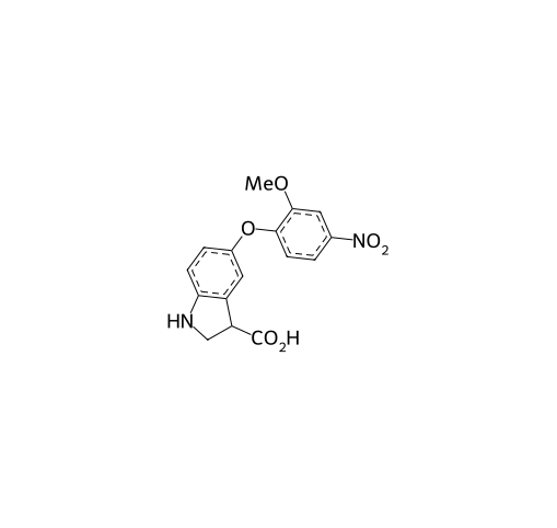 COc1cc([N+](=O)[O-])ccc1Oc1ccc2c(c1)C(C(=O)O)CN2